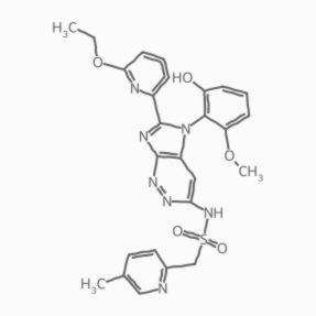 CCOC1=NC(c2nc3nnc(NS(=O)(=O)Cc4ccc(C)cn4)cc3n2-c2c(O)cccc2OC)=C=C=C1